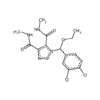 CCOC(c1ccc(Cl)c(Cl)c1)n1cnc(C(=O)NC)c1C(=O)NC